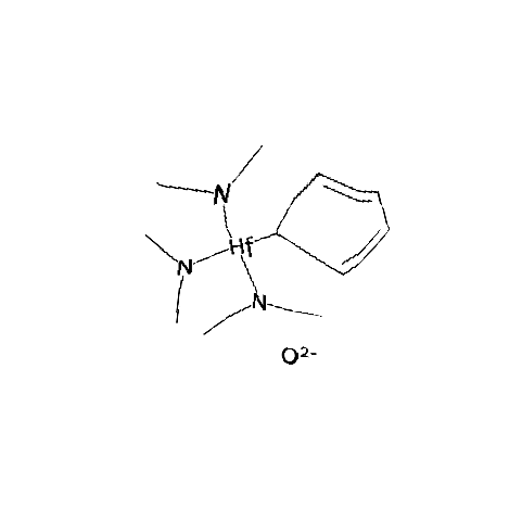 C[N](C)[Hf]([CH]1C=CC=C1)([N](C)C)[N](C)C.[O-2]